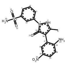 Cc1[nH]n(-c2cccc(S(N)(=O)=O)c2)c(=O)c1-c1cc([N+](=O)[O-])ccc1N